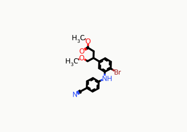 COCC(CC(=O)OC)c1ccc(Br)c(Nc2ccc(C#N)cc2)c1